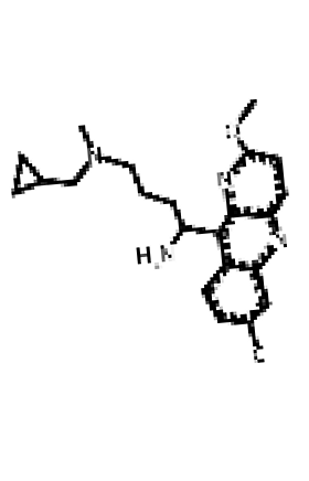 COc1ccc2nc3cc(Cl)ccc3c(C(N)CCCN(C)CC3CC3)c2n1